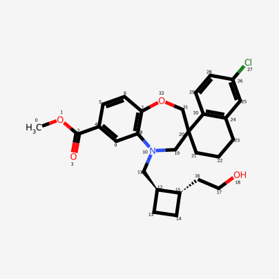 COC(=O)c1ccc2c(c1)N(C[C@@H]1CC[C@H]1CCO)CC1(CCCc3cc(Cl)ccc31)CO2